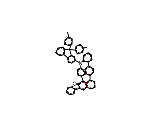 Cc1ccc(C2(c3ccc(C)cc3)c3ccccc3-c3ccc(N(c4ccc(-c5cccc6c5oc5ccccc56)cc4)c4ccccc4-c4ccc(-c5ccccc5)cc4)cc32)cc1